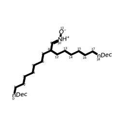 CCCCCCCCCCCCCCCCCC(C=[NH+][O-])CCCCCCCCCCCCCCCC